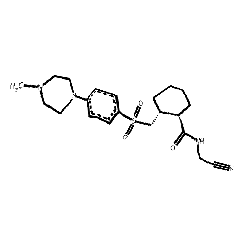 CN1CCN(c2ccc(S(=O)(=O)C[C@@H]3CCCC[C@H]3C(=O)NCC#N)cc2)CC1